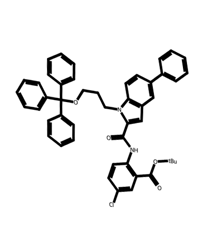 CC(C)(C)OC(=O)c1cc(Cl)ccc1NC(=O)c1cc2cc(-c3ccccc3)ccc2n1CCCOC(c1ccccc1)(c1ccccc1)c1ccccc1